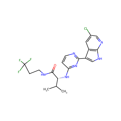 CC(C)[C@@H](Nc1ccnc(-c2c[nH]c3ncc(Cl)cc23)n1)C(=O)NCCC(F)(F)F